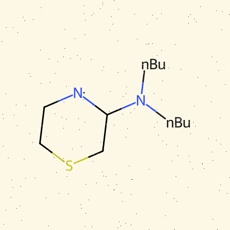 CCCCN(CCCC)C1CSCC[N]1